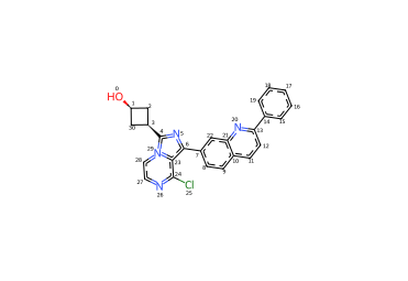 O[C@H]1C[C@@H](c2nc(-c3ccc4ccc(-c5ccccc5)nc4c3)c3c(Cl)nccn32)C1